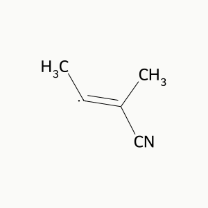 C[C]=C(C)C#N